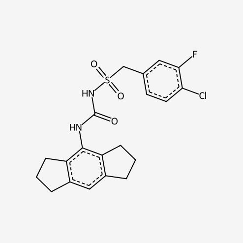 O=C(Nc1c2c(cc3c1CCC3)CCC2)NS(=O)(=O)Cc1ccc(Cl)c(F)c1